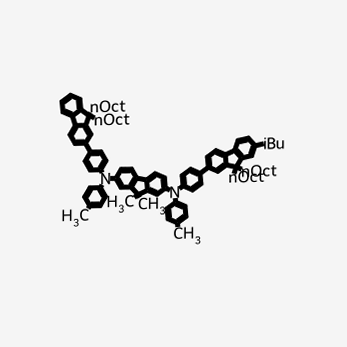 CCCCCCCCC1(CCCCCCCC)c2ccccc2-c2ccc(-c3ccc(N(c4ccc(C)cc4)c4ccc5c(c4)C(C)(C)c4cc(N(c6ccc(C)cc6)c6ccc(-c7ccc8c(c7)C(CCCCCCCC)(CCCCCCCC)c7cc(C(C)CC)ccc7-8)cc6)ccc4-5)cc3)cc21